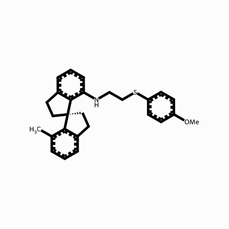 COc1ccc(SCCNc2cccc3c2[C@]2(CCc4cccc(C)c42)CC3)cc1